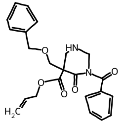 C=CCOC(=O)C1(COCc2ccccc2)CNCN(C(=O)c2ccccc2)C1=O